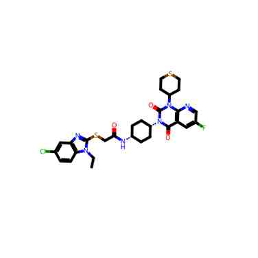 CCn1c(SCC(=O)N[C@H]2CC[C@@H](n3c(=O)c4cc(F)cnc4n(C4CCSCC4)c3=O)CC2)nc2cc(Cl)ccc21